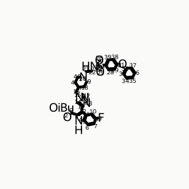 CC(C)COC(=O)c1[nH]c2ccc(F)cc2c1-c1cn(CC2CCN(CCNS(=O)(=O)c3ccc(Oc4ccccc4)cc3)CC2)nn1